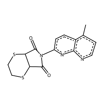 Cc1ccnc2nc(N3C(=O)C4SCCSC4C3=O)ccc12